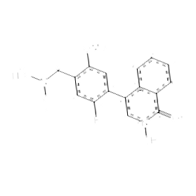 COc1cc(-c2cn(C)c(=O)c3ccccc23)c(F)cc1CN(C)C